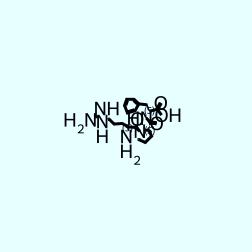 N=C(N)NCCC[C@H](N)C(=O)N1CCC[C@H]1C(=O)N[C@@H](Cc1ccccc1)C(=O)O